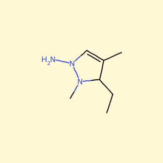 CCC1C(C)=CN(N)N1C